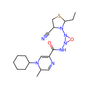 CCC1SCC(C#N)N1n1on1NC(=O)C1=CN(C2CCCCC2)C(C)C=N1